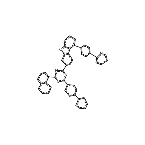 c1ccc(-c2ccc(-c3nc(-c4ccc5c(c4)oc4cccc(-c6ccc(-c7ccccn7)cc6)c45)nc(-c4cccc5ccccc45)n3)cc2)cc1